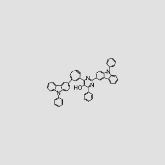 Oc1c(C2=CC(c3ccc4c(c3)c3ccccc3n4-c3ccccc3)=CCC#C2)nc(-c2ccc3c(c2)c2ccccc2n3-c2ccccc2)nc1-c1ccccc1